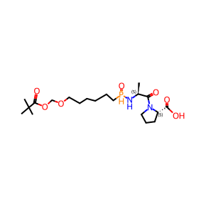 C[C@H](N[PH](=O)CCCCCCOCOC(=O)C(C)(C)C)C(=O)N1CCC[C@H]1C(=O)O